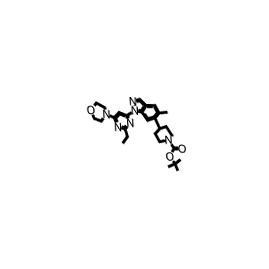 CCc1nc(N2CCOCC2)cc(-n2ncc3cc(C)c(C4CCN(C(=O)OC(C)(C)C)CC4)cc32)n1